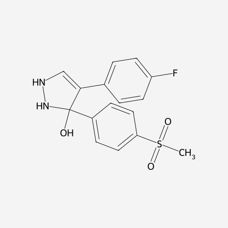 CS(=O)(=O)c1ccc(C2(O)NNC=C2c2ccc(F)cc2)cc1